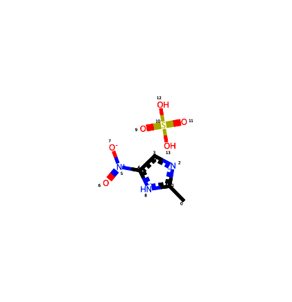 Cc1ncc([N+](=O)[O-])[nH]1.O=S(=O)(O)O